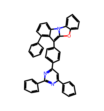 c1ccc(-c2cc(-c3ccc(-c4c5c(-c6ccccc6)cccc5n5c4oc4ccccc45)cc3)nc(-c3ccccc3)n2)cc1